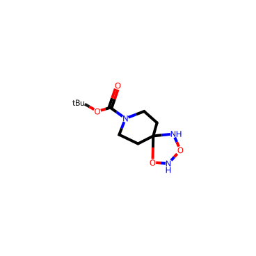 CC(C)(C)OC(=O)N1CCC2(CC1)NONO2